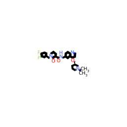 CC(C)N1CCC[C@@H](COc2ccnc3ccc(CNC(=O)c4cccn(Cc5ccc(F)c(F)c5)c4=O)cc23)C1